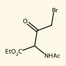 CCOC(=O)C(NC(C)=O)C(=O)CBr